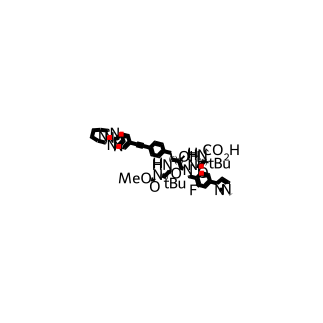 COC(=O)N[C@H](C(=O)N[C@@H](Cc1ccc(C#Cc2ccc(N3CC4CCC(C3)N4c3ncccn3)nc2)cc1)[C@@H](O)CN(Cc1c(F)cc(-c2ccn(C)n2)cc1F)NC(=O)[C@@H](NC(=O)O)C(C)(C)C)C(C)(C)C